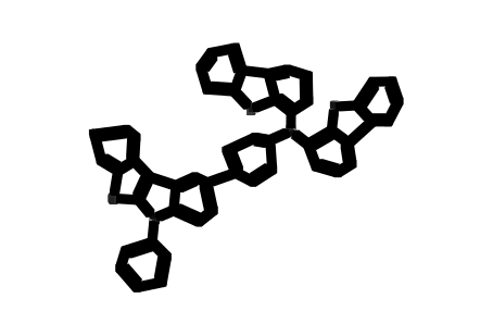 c1ccc(-n2c3ccc(-c4ccc(N(c5cccc6c5sc5ccccc56)c5cccc6c5sc5ccccc56)cc4)cc3c3c4ccccc4oc32)cc1